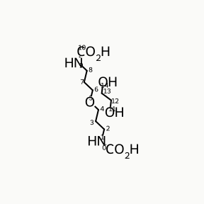 O=C(O)NCCCOCCCNC(=O)O.OCCO